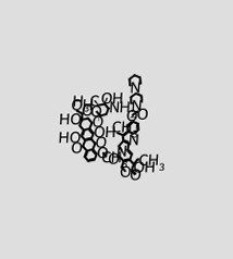 CCc1c2c(nc3ccc(OC(=O)N4CCC(N5CCCCC5)CC4)cc13)-c1cc3c(c(=O)n1C2)COC(=O)[C@]3(O)CC.COc1cccc2c1C(=O)c1c(O)c3c(c(O)c1C2=O)C[C@@](O)(C(=O)CO)C[C@@H]3O[C@H]1C[C@H](N)[C@H](O)[C@H](C)O1